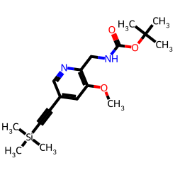 COc1cc(C#C[Si](C)(C)C)cnc1CNC(=O)OC(C)(C)C